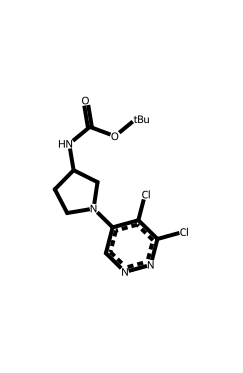 CC(C)(C)OC(=O)NC1CCN(c2cnnc(Cl)c2Cl)C1